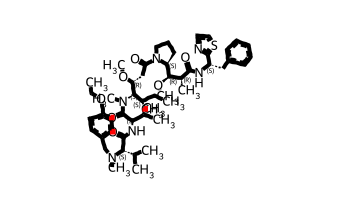 CCOc1ccc(CN(C)[C@H](C(=O)N[C@H](C(=O)N(C)[C@@H]([C@@H](C)CC)[C@@H](CC(=O)N2CCC[C@H]2[C@H](OC)[C@@H](C)C(=O)N[C@@H](Cc2ccccc2)c2nccs2)OC)C(C)C)C(C)C)cc1